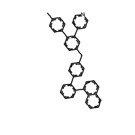 Cc1ccc(-c2ccc(Cc3ccc(-c4ccccc4-c4cccc5ccccc45)cc3)cc2-c2ccncc2)cc1